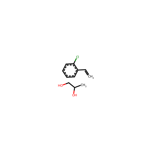 C=Cc1ccccc1Cl.CC(O)CO